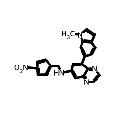 Cn1ccc2ccc(-c3cc(NCc4ccc([N+](=O)[O-])cc4)cc4nccnc34)cc21